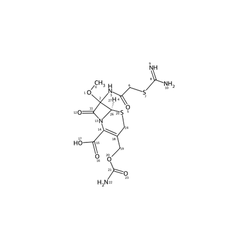 COC1(NC(=O)CSC(=N)N)C(=O)N2C(C(=O)O)=C(COC(N)=O)CS[C@@H]21